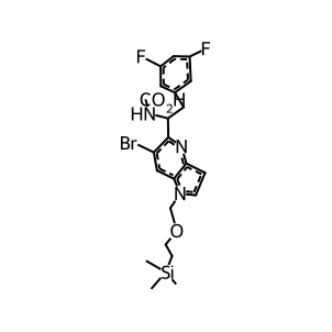 C[Si](C)(C)CCOCn1ccc2nc(C(Cc3cc(F)cc(F)c3)NC(=O)O)c(Br)cc21